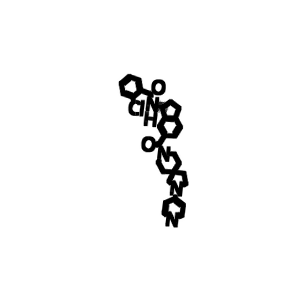 O=C(N[C@@H]1CCc2ccc(C(=O)N3CCC4(CC3)CCN(c3ccncc3)C4)cc21)c1ccccc1Cl